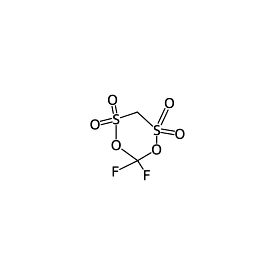 O=S1(=O)CS(=O)(=O)OC(F)(F)O1